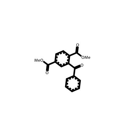 COC(=O)c1ccc(C(=O)OC)c(C(=O)c2ccccc2)c1